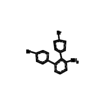 Nc1cccc(-c2ccc(Br)cc2)c1-c1ccc(Br)cc1